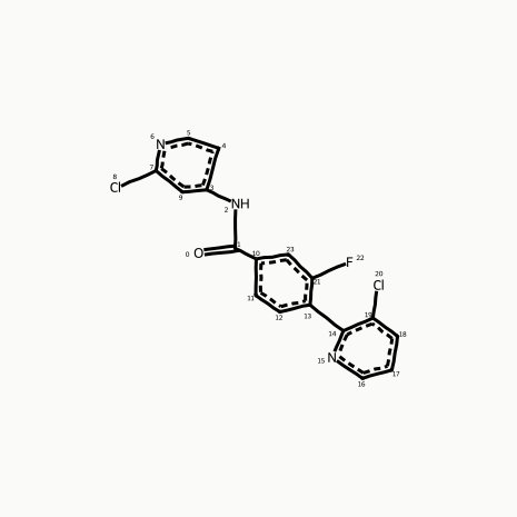 O=C(Nc1ccnc(Cl)c1)c1ccc(-c2ncccc2Cl)c(F)c1